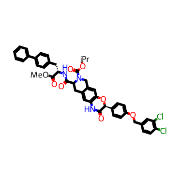 COC(=O)[C@H](Cc1ccc(-c2ccccc2)cc1)NC(=O)C1Cc2cc3c(cc2CN1C(=O)OC(C)C)O[C@@H](c1ccc(OCc2ccc(Cl)c(Cl)c2)cc1)C(=O)N3